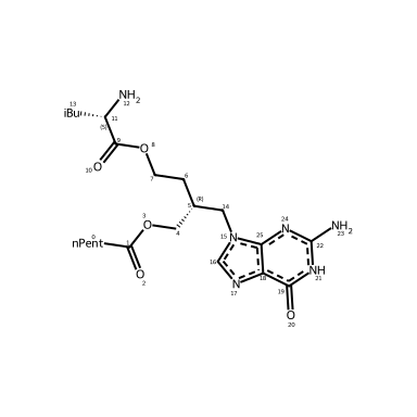 CCCCCC(=O)OC[C@H](CCOC(=O)[C@@H](N)C(C)CC)Cn1cnc2c(=O)[nH]c(N)nc21